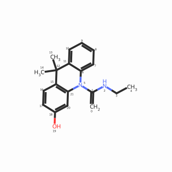 C=C(NCC)N1c2ccccc2C(C)(C)c2ccc(O)cc21